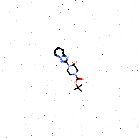 CC(C)(C)OC(=O)N1CCN(c2nc3ccccn3n2)C(=O)C1